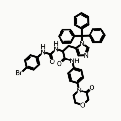 O=C(Nc1ccc(Br)cc1)NC(Cc1cncn1C(c1ccccc1)(c1ccccc1)c1ccccc1)C(=O)Nc1ccc(N2CCOCC2=O)cc1